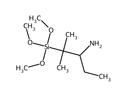 CCC(N)C(C)(C)[Si](OC)(OC)OC